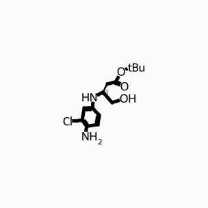 CC(C)(C)OC(=O)C[C@@H](CO)Nc1ccc(N)c(Cl)c1